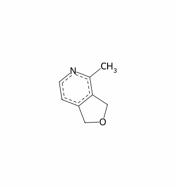 Cc1nccc2c1COC2